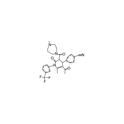 CC(=O)C1=C(C)N(c2cccc(C(F)(F)F)c2)C(=O)C(C(=O)N2CCCN(C)CC2)C1c1ccc(C#N)cc1